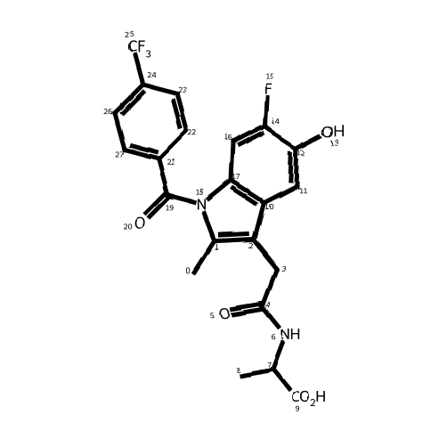 Cc1c(CC(=O)NC(C)C(=O)O)c2cc(O)c(F)cc2n1C(=O)c1ccc(C(F)(F)F)cc1